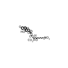 C[C@@H]1C[C@H]2[C@@H]3CCC4=CC(=O)C=C[C@]4(C)[C@@]3(F)[C@@H](O)C[C@]2(C)[C@@]1(O)C(=O)COC(=O)OCC(NC(=O)CCCCCO[N+](=O)[O-])C(=O)O